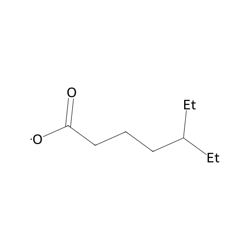 CCC(CC)CCCC([O])=O